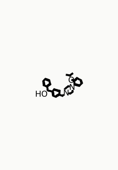 CC(C)Oc1ccccc1N1CCN(Cc2ccc(C(O)c3ccccc3)cc2)CC1